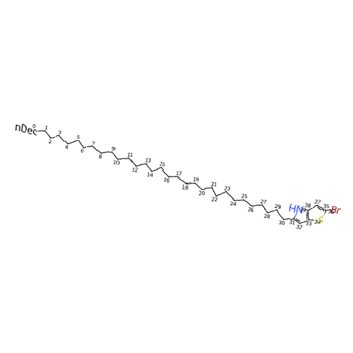 CCCCCCCCCCCCCCCCCCCCCCCCCCCCCCCCCCCCCCCCc1cc2sc(Br)cc2[nH]1